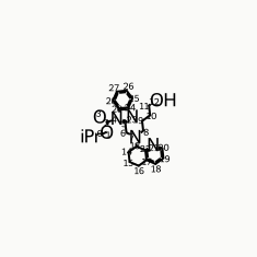 CC(C)OC(=O)n1c(CN(CCCCO)C2CCCc3cccnc32)nc2ccccc21